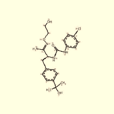 CC(C)(O)c1ccc(C[C@H](NC(=O)Nc2ccc(Cl)cc2)/C(N)=N/OCCO)cc1